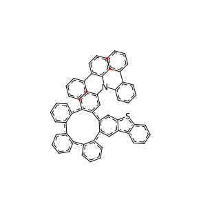 c1ccc(-c2ccccc2N(c2ccc3c4ccccc4c4ccccc4c4ccccc4c4cc5c(cc4c3c2)sc2ccccc25)c2ccccc2-c2ccccc2)cc1